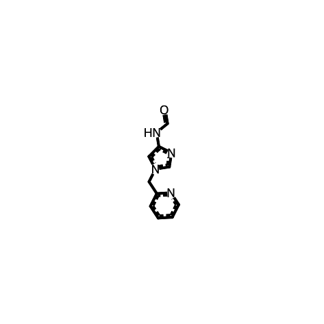 O=CNc1cn(Cc2ccccn2)cn1